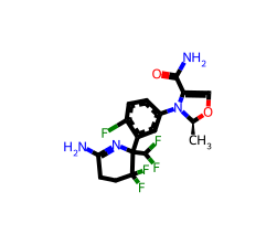 C[C@@H]1OC=C(C(N)=O)N1c1ccc(F)c(C2(C(F)F)N=C(N)CCC2(F)F)c1